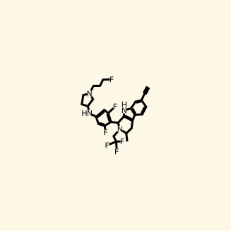 C#Cc1ccc2c3c([nH]c2c1)C(c1c(F)cc(NC2CCN(CCCF)C2)cc1F)N(CC(F)(F)F)C(C)C3